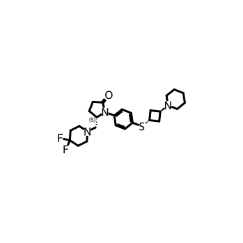 O=C1CC[C@@H](CN2CCC(F)(F)CC2)N1c1ccc(S[C@H]2C[C@H](N3CCCCC3)C2)cc1